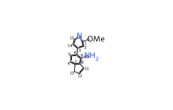 COc1cc(-c2ccc3c(c2N)C=CC3)ccn1